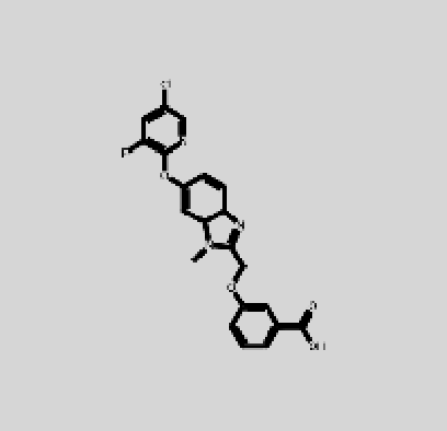 CN1C(COc2cccc(C(=O)O)c2)=NC2C=CC(Oc3ncc(Cl)cc3F)=CC21